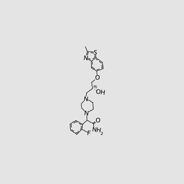 Cc1nc2cc(OC[C@H](O)CN3CCN(C(C(N)=O)c4ccccc4F)CC3)ccc2s1